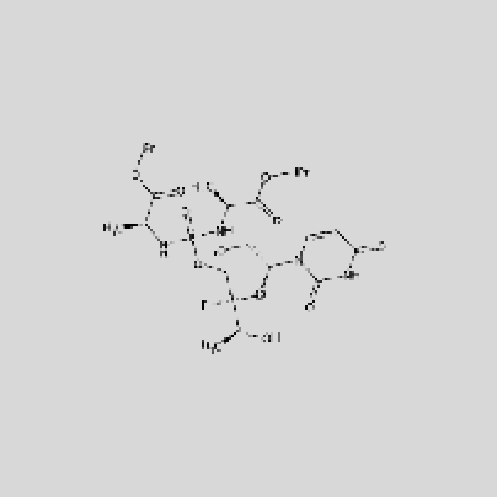 CC(C)OC(=O)[C@H](C)NP(=O)(N[C@@H](C)C(=O)OC(C)C)OC[C@@](F)(O[C@H](CO)n1ccc(=O)[nH]c1=O)[C@H](C)O